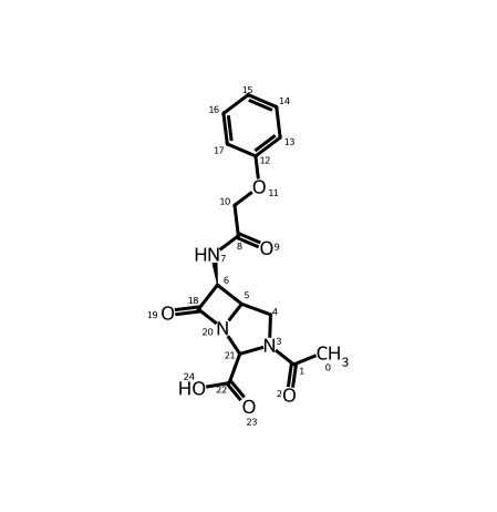 CC(=O)N1CC2[C@H](NC(=O)COc3ccccc3)C(=O)N2C1C(=O)O